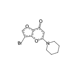 O=c1cc(N2CCCCC2)oc2c(Br)coc12